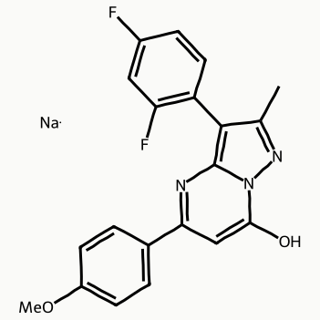 COc1ccc(-c2cc(O)n3nc(C)c(-c4ccc(F)cc4F)c3n2)cc1.[Na]